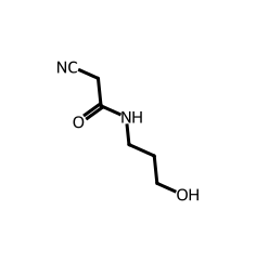 N#CCC(=O)NCCCO